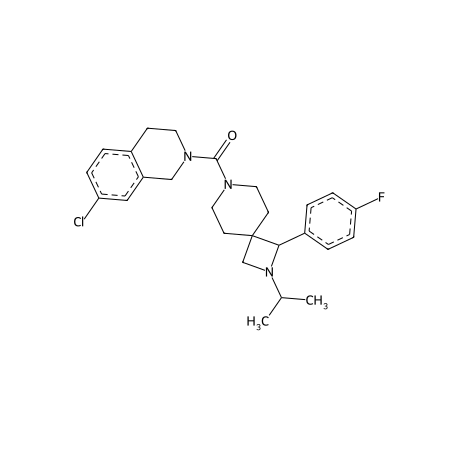 CC(C)N1CC2(CCN(C(=O)N3CCc4ccc(Cl)cc4C3)CC2)C1c1ccc(F)cc1